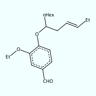 CCC=CCC(CCCCCC)Oc1ccc(C=O)cc1OCC